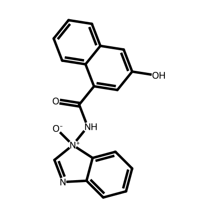 O=C(N[N+]1([O-])C=Nc2ccccc21)c1cc(O)cc2ccccc12